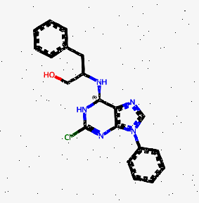 OCC(Cc1ccccc1)N[C@@H]1NC(Cl)=Nc2c1ncn2-c1ccccc1